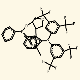 Cc1sc(C)c(P(c2cc(C(F)(F)F)cc(C(F)(F)F)c2)c2cc(C(F)(F)F)cc(C(F)(F)F)c2)c1C1COCC1OP(c1ccccc1)c1ccccc1